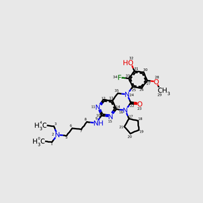 CCN(CC)CCCCNc1ncc2c(n1)N(C1CCCC1)C(=O)N(c1cc(OC)cc(O)c1F)C2